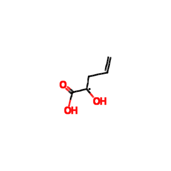 C=CC[C](O)C(=O)O